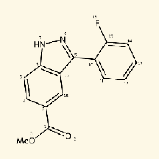 COC(=O)c1ccc2[nH]nc(-c3ccccc3F)c2c1